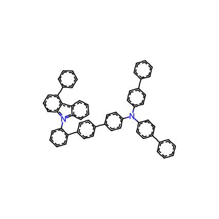 c1ccc(-c2ccc(N(c3ccc(-c4ccccc4)cc3)c3ccc(-c4ccc(-c5ccccc5-n5c6ccccc6c6c(-c7ccccc7)cccc65)cc4)cc3)cc2)cc1